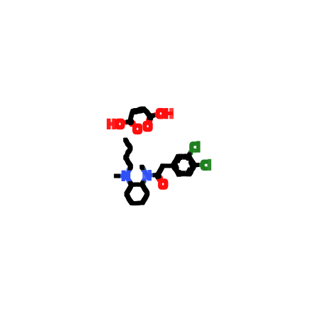 CCCCN(C)C1CCCCC1N(C)C(=O)Cc1ccc(Cl)c(Cl)c1.O=C(O)/C=C\C(=O)O